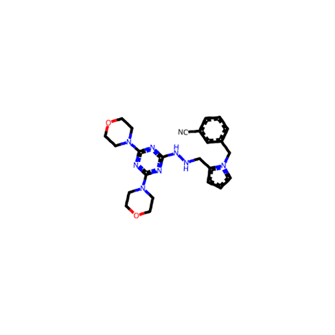 N#Cc1cccc(Cn2cccc2CNNc2nc(N3CCOCC3)nc(N3CCOCC3)n2)c1